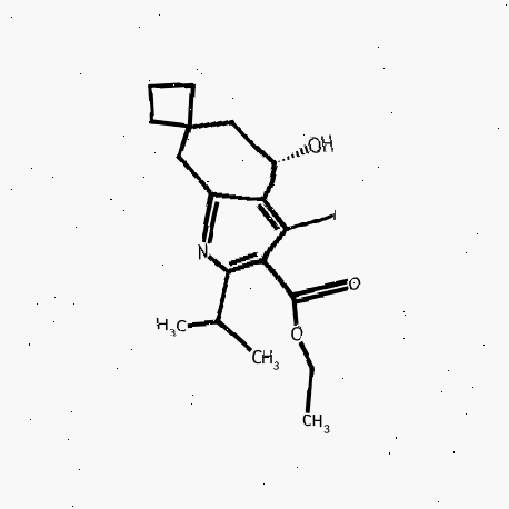 CCOC(=O)c1c(C(C)C)nc2c(c1I)[C@@H](O)CC1(CCC1)C2